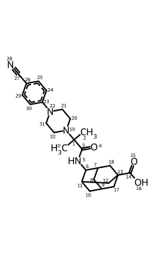 CC(C)(C(=O)NC1C2CC3CC1CC(C(=O)O)(C3)C2)N1CCN(c2ccc(C#N)cc2)CC1